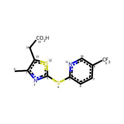 Cc1nc(Sc2ccc(C(F)(F)F)cn2)sc1CC(=O)O